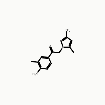 Cc1cc(C(=O)Cn2nc(C(F)(F)F)cc2C)ccc1N